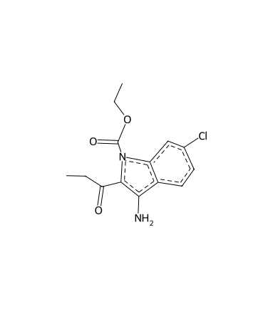 CCOC(=O)n1c(C(=O)CC)c(N)c2ccc(Cl)cc21